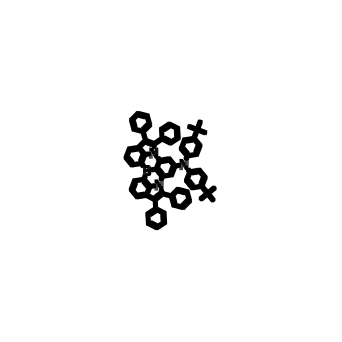 CC(C)(C)c1ccc(N(c2ccc(C(C)(C)C)cc2)c2cc3c4c(c2)-n2c(-c5ccccc5)c(-c5ccccc5)c5cccc(c52)B4c2cccc4c(-c5ccccc5)c(-c5ccccc5)n-3c24)cc1